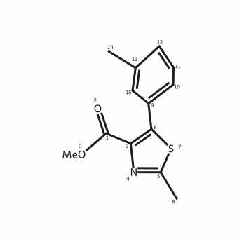 COC(=O)c1nc(C)sc1-c1cccc(C)c1